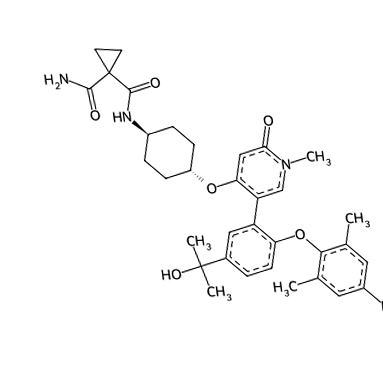 Cc1cc(F)cc(C)c1Oc1ccc(C(C)(C)O)cc1-c1cn(C)c(=O)cc1O[C@H]1CC[C@H](NC(=O)C2(C(N)=O)CC2)CC1